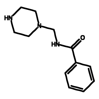 O=C(NCN1CCNCC1)c1ccccc1